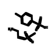 CS(=O)(=O)/C=C\CN.Cc1ccc(S(=O)(=O)O)cc1